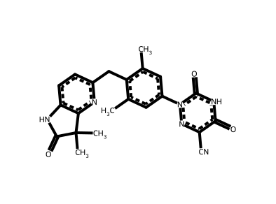 Cc1cc(-n2nc(C#N)c(=O)[nH]c2=O)cc(C)c1Cc1ccc2c(n1)C(C)(C)C(=O)N2